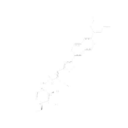 CCCN(CCC)c1ccc2cc(-c3ccc(/C=C(\C#N)S(=O)(=O)N[C@H]4C(O)O[C@H](CC)[C@@H](O)[C@@H]4O)s3)ccc2c1